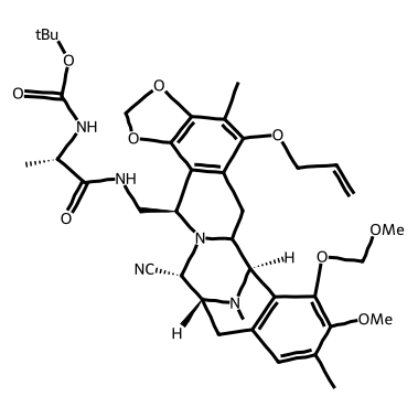 C=CCOc1c(C)c2c(c3c1CC1[C@H]4c5c(cc(C)c(OC)c5OCOC)C[C@H]([C@H](C#N)N1[C@H]3CNC(=O)[C@H](C)NC(=O)OC(C)(C)C)N4C)OCO2